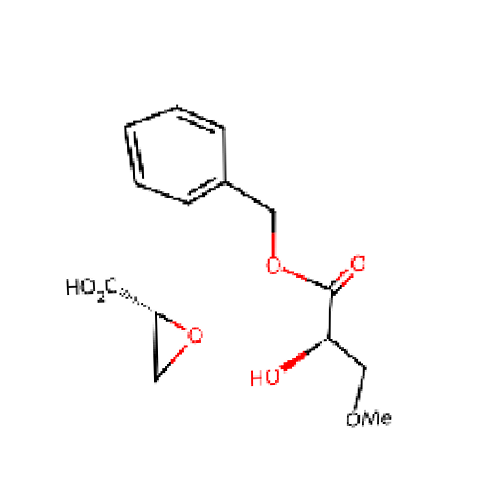 COC[C@@H](O)C(=O)OCc1ccccc1.O=C(O)[C@H]1CO1